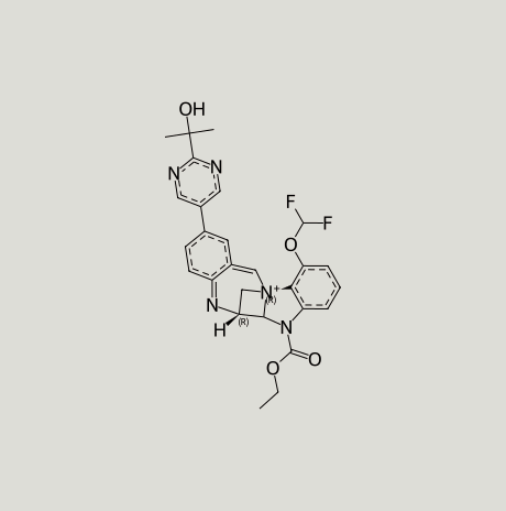 CCOC(=O)N1c2cccc(OC(F)F)c2[N@+]23C=c4cc(-c5cnc(C(C)(C)O)nc5)ccc4=N[C@H](C2)C13